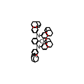 Clc1c(N(c2ccc3c(c2)C2CC4CC(CC3C4)C2)c2ccc3c(c2)C2CC4CC(CC3C4)C2)cccc1N(c1ccc2c(c1)C1CC3CC(CC2C3)C1)c1ccc2c(c1)C1CC3CC(CC2C3)C1